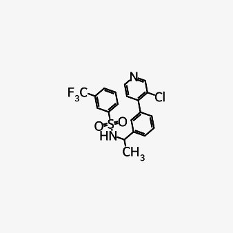 CC(NS(=O)(=O)c1cccc(C(F)(F)F)c1)c1cccc(-c2ccncc2Cl)c1